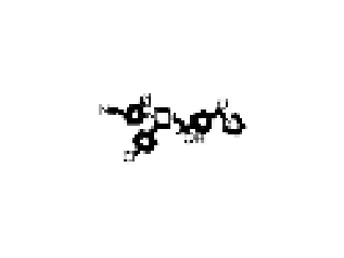 C[C@@](O)(CN1CCN(c2ccc(C#N)cc2Cl)C(c2ccc(Cl)cc2)C1)c1ccc(C(=O)N2CCCC2)cc1